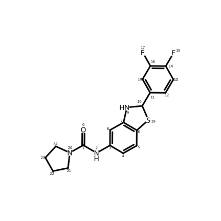 O=C(Nc1ccc2c(c1)NC(c1ccc(F)c(F)c1)S2)N1CCCC1